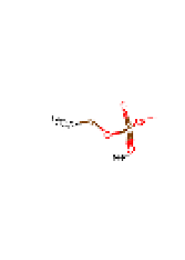 O=S(=O)([O-])OSS(=O)(=O)O.[Na+]